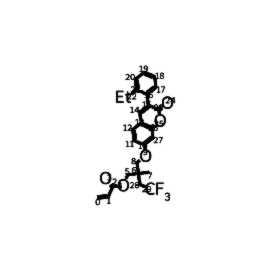 C=CC(=O)OCC(C)(COc1ccc2cc(-c3ccccc3CC)c(=O)oc2c1)CC(F)(F)F